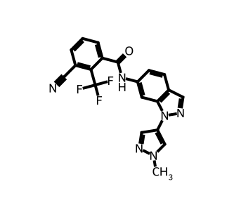 Cn1cc(-n2ncc3ccc(NC(=O)c4cccc(C#N)c4C(F)(F)F)cc32)cn1